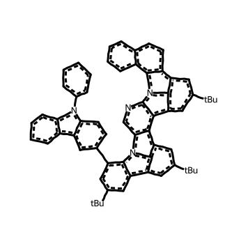 CC(C)(C)c1cc(-c2ccc3c(c2)c2ccccc2n3-c2ccccc2)c2c(c1)c1cc(C(C)(C)C)cc3c4c5c6cc(C(C)(C)C)cc7c8ccc9ccccc9c8n(c5ncc4n2c13)c76